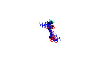 N=C(NC(=O)c1ccc(N2CCN(C(=O)CCCNc3cccc4c3C(=O)N(C3CCC(=O)NC3=O)C4=O)CC2)cc1NC1CCOCC1)c1cc(Cc2cc(F)cc(F)c2)ccc1N